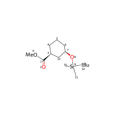 COC(=O)[C@H]1CCC[C@@H](O[Si](C)(C)C(C)(C)C)C1